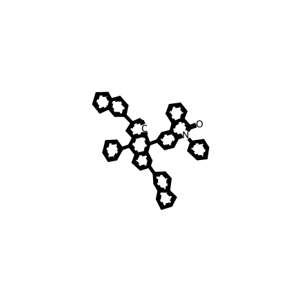 O=c1c2ccccc2c2cc(-c3c4ccc(-c5ccc6ccccc6c5)cc4c(-c4ccccc4)c4ccc(-c5ccc6ccccc6c5)cc34)ccc2n1-c1ccccc1